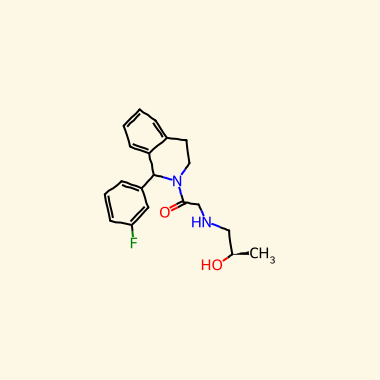 C[C@@H](O)CNCC(=O)N1CCc2ccccc2C1c1cccc(F)c1